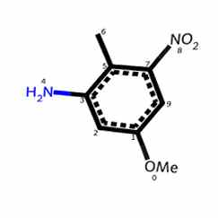 COc1cc(N)c(C)c([N+](=O)[O-])c1